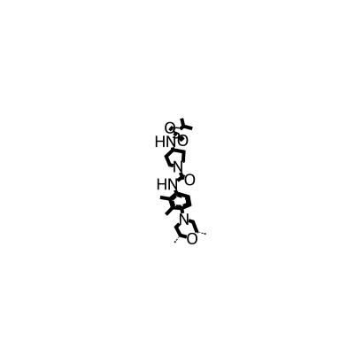 Cc1c(NC(=O)N2CCC(NS(=O)(=O)C(C)C)CC2)ccc(N2C[C@@H](C)O[C@@H](C)C2)c1C